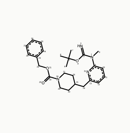 CN(C(=N)OC(C)(C)C)c1cccc(CC2CCN(C(=O)OCc3ccccc3)CC2)n1